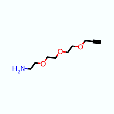 C#CCOCCOCCOCCN